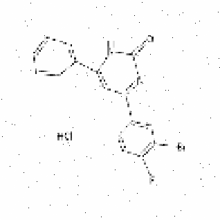 Cl.O=c1nc(-c2ccc(F)c(Br)c2)cc(-c2ccccc2)[nH]1